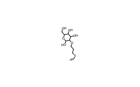 CCCSCCCOC1C(O)OC(CO)C(O)C1O